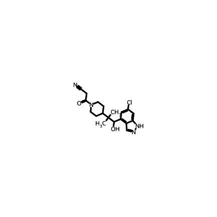 CC(C)(C1CCN(C(=O)CC#N)CC1)C(O)c1cc(Cl)cc2[nH]ncc12